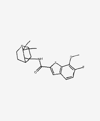 COc1c(F)ccc2cc(C(=O)NC3C4CCN(CC4)C3(C)C)sc12